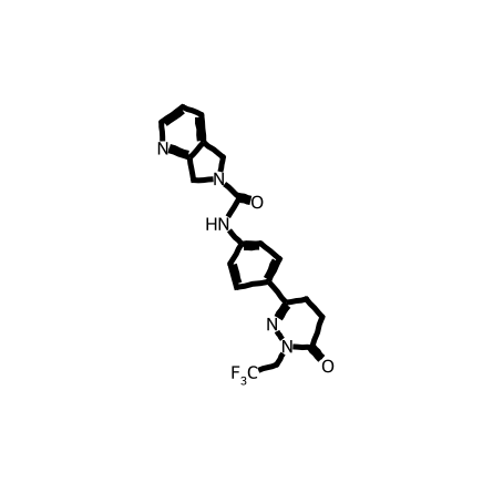 O=C(Nc1ccc(C2=NN(CC(F)(F)F)C(=O)CC2)cc1)N1Cc2cccnc2C1